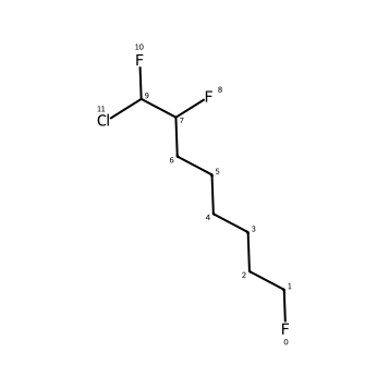 FCCCCCCC(F)C(F)Cl